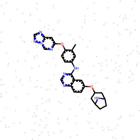 Cc1cc(Nc2ncnc3ccc(OC4CC5CCC(C4)N5)cc23)ccc1Oc1cc2ncnn2cn1